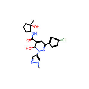 Cn1cc(N2N=C(c3ccc(Cl)cc3)C=C(C(=O)N[C@@H]3CCC[C@]3(C)O)C2O)cn1